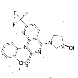 Cc1ccccc1-n1c(=O)nc(N2CC[C@@H](O)C2)c2ccc(C(F)(F)F)nc21